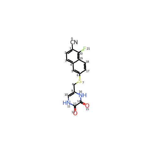 N#Cc1ccc2cc(SCc3c[nH]c(=O)c(=O)[nH]3)ccc2c1F